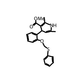 COC(=O)C1=C(C)NC(C)=CC1c1ccccc1OCSc1ccccc1